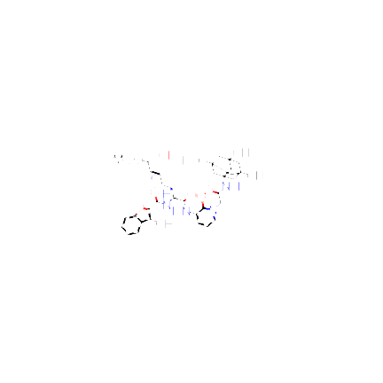 COC(O)/C=C/CC[C@H](NC(=O)c1oc2ccccc2c1C)C(=O)Nc1cccn(CC(=O)NC23CC4(C)CC(C)(CC(C)(C4)C2)C3)c1=O